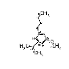 CCCCc1cc(OC)cc([C](C)C)c1